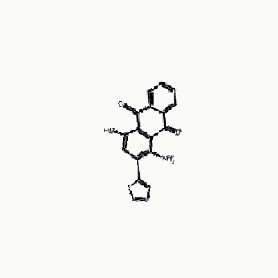 Nc1c(-c2cccs2)cc(O)c2c1C(=O)c1ccccc1C2=O